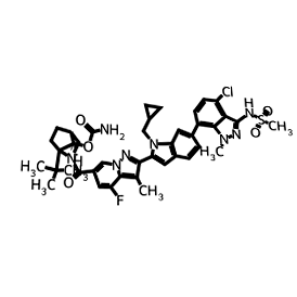 Cc1c(-c2cc3ccc(-c4ccc(Cl)c5c(NS(C)(=O)=O)nn(C)c45)cc3n2CC2CC2)nn2cc(C(=O)N3CC4CCC3(C(C)(C)C)[C@@H]4OC(N)=O)cc(F)c12